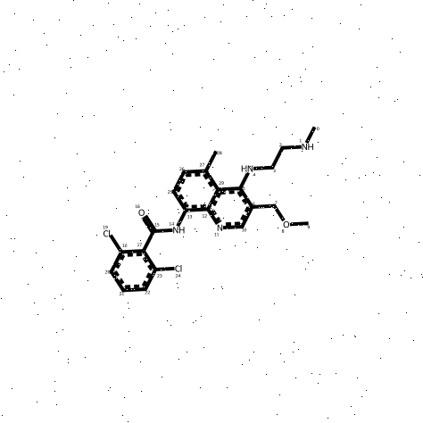 CNCCNc1c(COC)cnc2c(NC(=O)c3c(Cl)cccc3Cl)ccc(C)c12